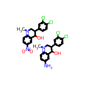 CNCC(c1ccc(Cl)c(Cl)c1)C(O)c1cccc(N)c1.CNCC(c1ccc(Cl)c(Cl)c1)C(O)c1cccc([N+](=O)[O-])c1